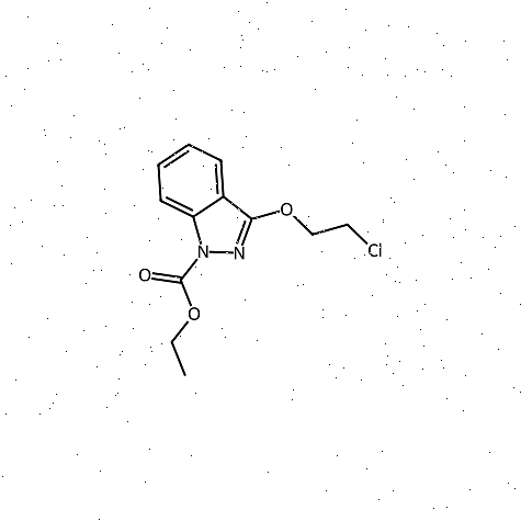 CCOC(=O)n1nc(OCCCl)c2ccccc21